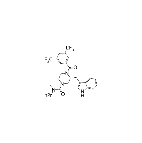 CCCN(C)C(=O)N1CCN(C(=O)c2cc(C(F)(F)F)cc(C(F)(F)F)c2)C(Cc2c[nH]c3ccccc23)C1